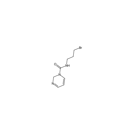 O=C(NCCCBr)N1C=CC=NC1